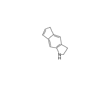 C1=Cc2cc3c(cc2C1)CCN3